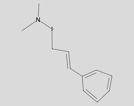 CN(C)[I]CC=Cc1ccccc1